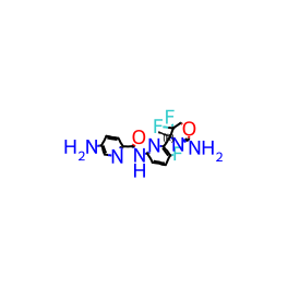 C[C@]1(c2nc(NC(=O)c3ccc(N)cn3)ccc2F)N=C(N)OCC1(F)F